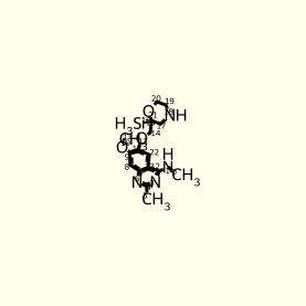 CNc1nc(C)nc2cc(OC)c(OC[C@@]3([SiH3])CNCCO3)cc12